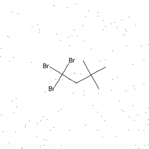 CC(C)(C)CC(Br)(Br)Br